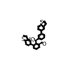 O=Cc1cccc(-c2ccc3sccc3c2)c1C(O)c1cccc(-c2ccc3sccc3c2)c1